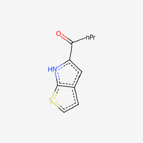 CCCC(=O)c1cc2ccsc2[nH]1